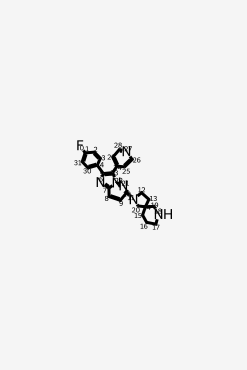 Fc1ccc(-c2nc3ccc(N4CCC5(CCCNC5)C4)nn3c2-c2ccncc2)cc1